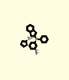 C1=CC[C]([Ti+2][CH]2C(P(c3ccccc3)c3ccccc3)=Cc3ccccc32)=C1.[F-].[F-]